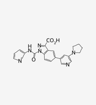 O=C(O)c1nn(C(=O)Nc2cccnc2)c2ccc(-c3cncc(N4CCCC4)c3)cc12